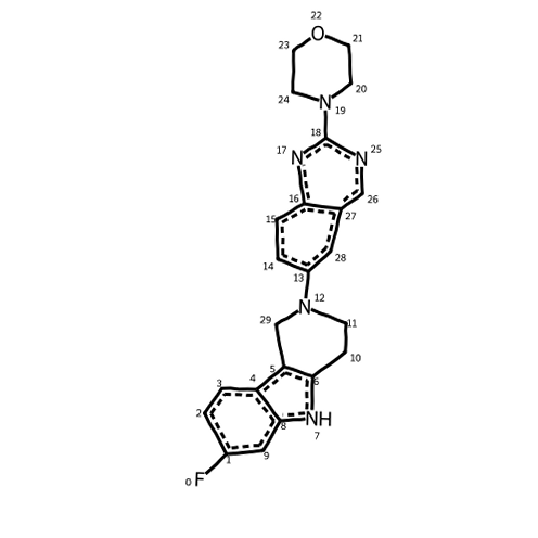 Fc1ccc2c3c([nH]c2c1)CCN(c1ccc2nc(N4CCOCC4)ncc2c1)C3